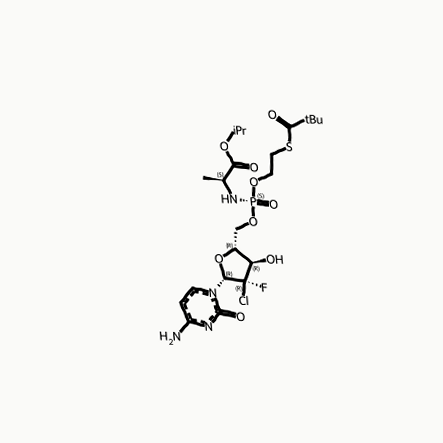 CC(C)OC(=O)[C@H](C)N[P@@](=O)(OCCSC(=O)C(C)(C)C)OC[C@H]1O[C@@H](n2ccc(N)nc2=O)[C@](F)(Cl)[C@@H]1O